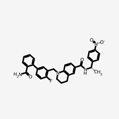 C[C@H](NC(=O)c1ccc2c(c1)CCCN2Cc1cc(-c2ccccc2C(N)=O)ccc1F)c1ccc([N+](=O)[O-])cc1